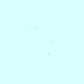 Cc1ccc(-c2nc3ccc(C)cn3c2CC(=O)N(C)C)cc1.Cl